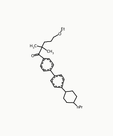 CCCC1CCC(c2ccc(-c3ccc(C(=O)C(C)(C)CCCOCC)cc3)cc2)CC1